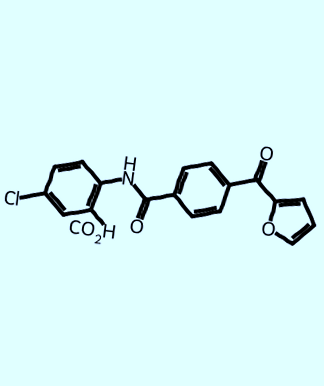 O=C(Nc1ccc(Cl)cc1C(=O)O)c1ccc(C(=O)c2ccco2)cc1